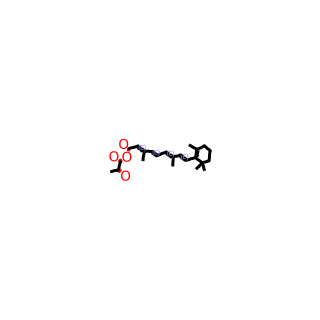 CC(=O)C(=O)OC(=O)/C=C(C)/C=C/C=C(C)/C=C/C1=C(C)CCCC1(C)C